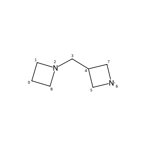 C1CN(CC2C[N]C2)C1